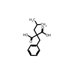 CC(C)CC(Cc1ccccc1)(C(=O)O)C(=O)O